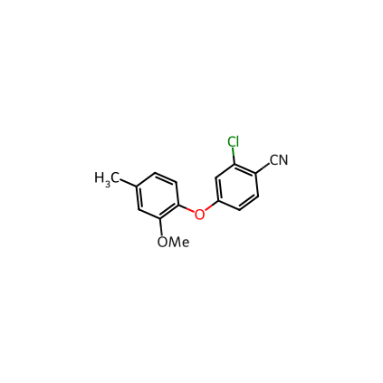 COc1cc(C)ccc1Oc1ccc(C#N)c(Cl)c1